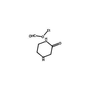 CCOC=O.O=C1CNCCN1